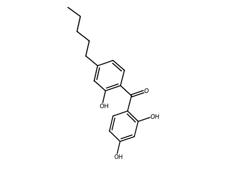 CCCCCc1ccc(C(=O)c2ccc(O)cc2O)c(O)c1